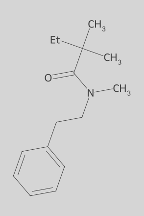 CCC(C)(C)C(=O)N(C)CCc1ccccc1